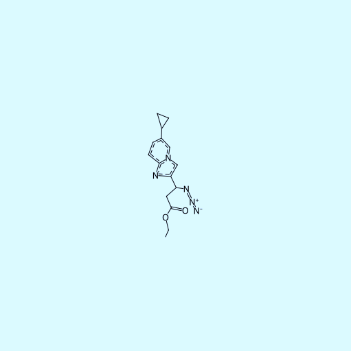 CCOC(=O)CC(N=[N+]=[N-])c1cn2cc(C3CC3)ccc2n1